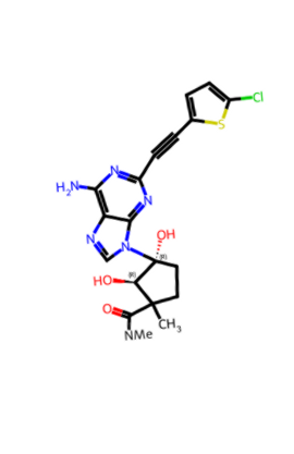 CNC(=O)C1(C)CC[C@](O)(n2cnc3c(N)nc(C#Cc4ccc(Cl)s4)nc32)[C@@H]1O